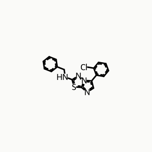 Clc1ccccc1-c1cnc2sc(NCc3ccccc3)nn12